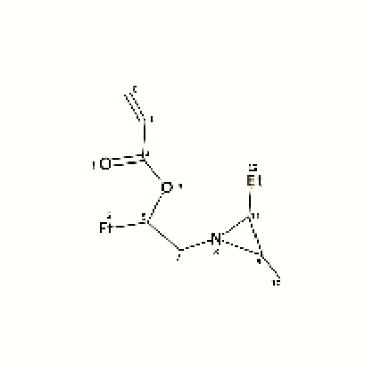 C=CC(=O)OC(CC)CN1C(C)C1CC